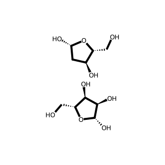 OC[C@H]1O[C@@H](O)C[C@@H]1O.OC[C@H]1O[C@@H](O)[C@H](O)[C@@H]1O